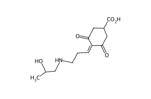 CC(O)CNCCC=C1C(=O)CC(C(=O)O)CC1=O